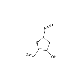 O=CC1=C(O)CC(N=O)S1